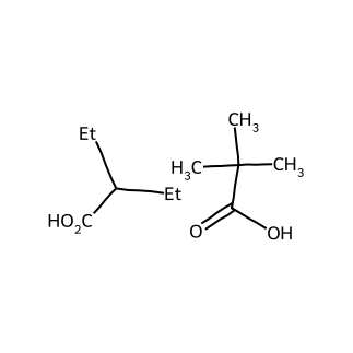 CC(C)(C)C(=O)O.CCC(CC)C(=O)O